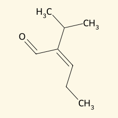 CCC=C(C=O)C(C)C